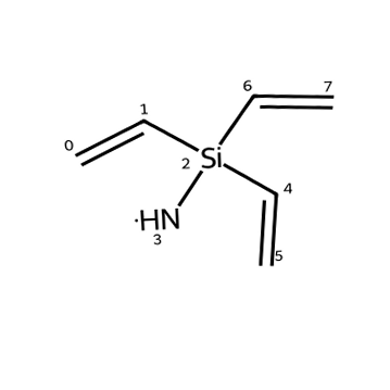 C=C[Si]([NH])(C=C)C=C